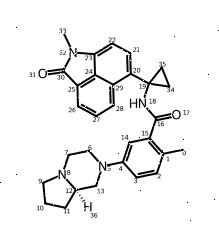 Cc1ccc(N2CCN3CCC[C@@H]3C2)cc1C(=O)NC1(c2ccc3c4c(cccc24)C(=O)N3C)CC1